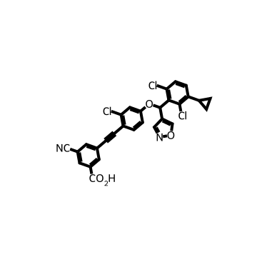 N#Cc1cc(C#Cc2ccc(OC(c3cnoc3)c3c(Cl)ccc(C4CC4)c3Cl)cc2Cl)cc(C(=O)O)c1